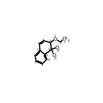 FC(F)(F)COC1C=Cc2ccccc2C1(Cl)Cl